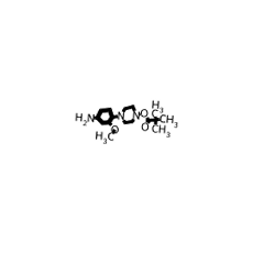 COc1cc(N)ccc1N1CCN(OC(=O)C(C)(C)C)CC1